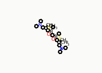 CC1(C)c2cc(N(c3ccccc3)c3ccccc3)ccc2-c2cc3c4c(c21)Sc1ccccc1B4c1cc2c(cc1O3)Oc1cc3c4c5c1B2c1ccccc1S5(C)C4(C)c1cc(N(c2ccccc2)c2ccccc2)ccc1-3